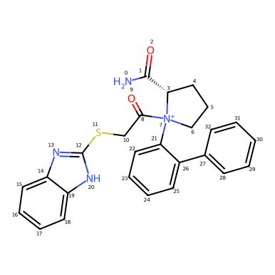 NC(=O)[C@@H]1CCC[N+]1(C(=O)CSc1nc2ccccc2[nH]1)c1ccccc1-c1ccccc1